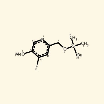 COc1cnc(CO[Si](C)(C)C(C)(C)C)cc1F